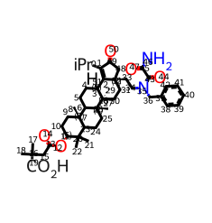 CC(C)C1=C2[C@H]3CCC4[C@@]5(C)CC[C@H](OC(=O)CC(C)(C)C(=O)O)C(C)(C)C5CC[C@@]4(C)[C@]3(C)CC[C@@]2(CCN(Cc2ccccc2)C(=O)C(N)=O)CC1=O